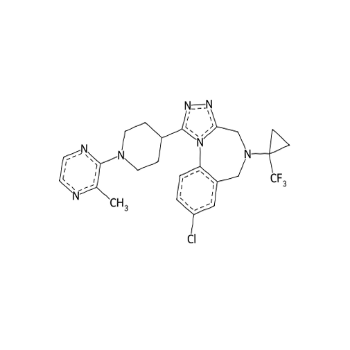 Cc1nccnc1N1CCC(c2nnc3n2-c2ccc(Cl)cc2CN(C2(C(F)(F)F)CC2)C3)CC1